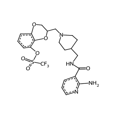 Nc1ncccc1C(=O)NCC1CCN(CC2COc3cccc(OS(=O)(=O)C(F)(F)F)c3O2)CC1